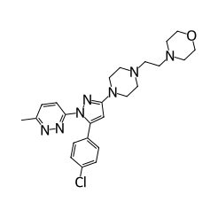 Cc1ccc(-n2nc(N3CCN(CCN4CCOCC4)CC3)cc2-c2ccc(Cl)cc2)nn1